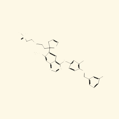 COc1cc2ncnc(Nc3ccc(OCc4cccc(F)c4)c(Cl)c3)c2cc1C1(CCNCCS(C)(=O)=O)CC=CO1